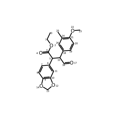 CCOC(=O)C(c1ccc2c(c1)OCO2)C(C=O)c1ccc(OC)c(C)c1